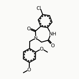 COc1ccc(CN2CC(=O)Nc3ccc(Cl)cc3C2=O)c(OC)c1